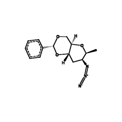 C[C@@H]1O[C@@H]2CO[C@@H](c3ccccc3)O[C@H]2C[C@@H]1N=[N+]=[N-]